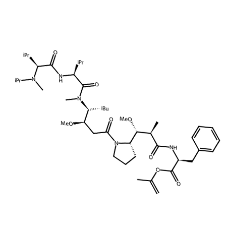 C=C(C)OC(=O)[C@H](Cc1ccccc1)NC(=O)[C@H](C)[C@@H](OC)[C@@H]1CCCN1C(=O)C[C@@H](OC)[C@H]([C@@H](C)CC)N(C)C(=O)[C@@H](NC(=O)[C@H](C(C)C)N(C)C(C)C)C(C)C